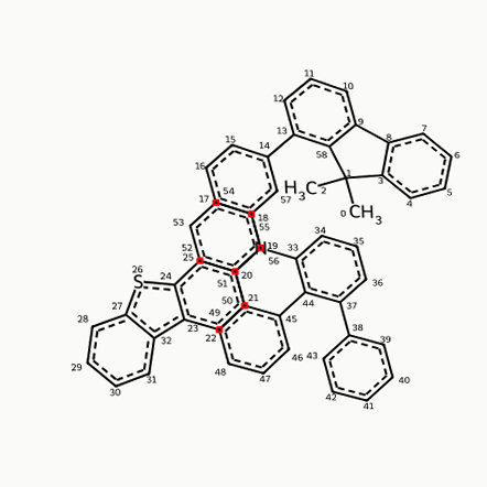 CC1(C)c2ccccc2-c2cccc(-c3cccc(N(c4ccc5c(c4)sc4ccccc45)c4cccc(-c5ccccc5)c4-c4ccccc4-c4ccccc4)c3)c21